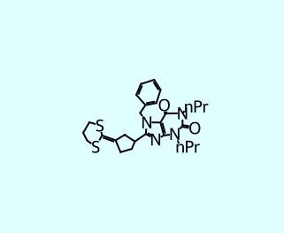 CCCn1c(=O)c2c(nc(C3CCC(=C4SCCCS4)C3)n2Cc2ccccc2)n(CCC)c1=O